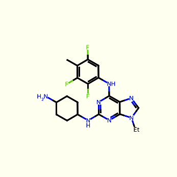 CCn1cnc2c(Nc3cc(F)c(C)c(F)c3F)nc(NC3CCC(N)CC3)nc21